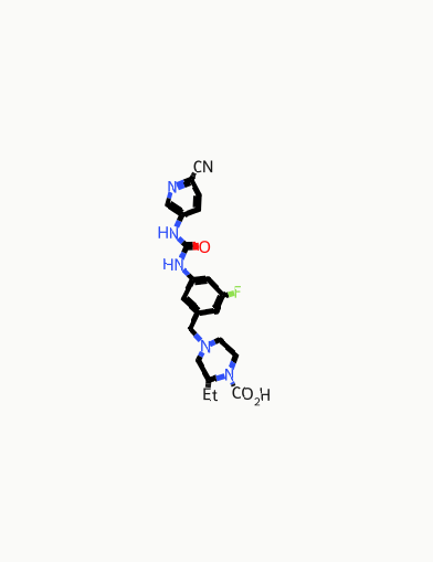 CCC1CN(Cc2cc(F)cc(NC(=O)Nc3ccc(C#N)nc3)c2)CCN1C(=O)O